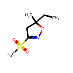 CCC1(C)CC(S(C)(=O)=O)=NO1